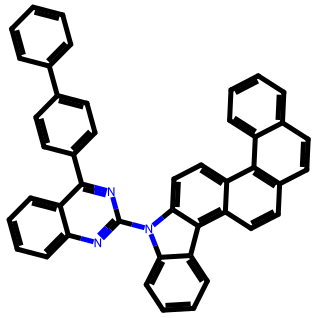 c1ccc(-c2ccc(-c3nc(-n4c5ccccc5c5c6ccc7ccc8ccccc8c7c6ccc54)nc4ccccc34)cc2)cc1